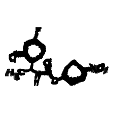 CC(NC(=O)Oc1ccc([N+](=O)[O-])cc1)c1ccc(F)cc1Cl